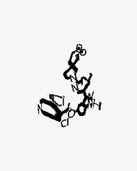 C[C@@H](Oc1ccc2[nH]nc(-c3cnc(N4CCC5(CCS(=O)(=O)C5)C4)nc3)c2c1)c1c(Cl)cncc1Cl